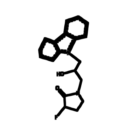 O=C1C(F)CCN1CC(O)Cn1c2ccccc2c2ccccc21